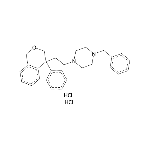 Cl.Cl.c1ccc(CN2CCN(CCC3(c4ccccc4)COCc4ccccc43)CC2)cc1